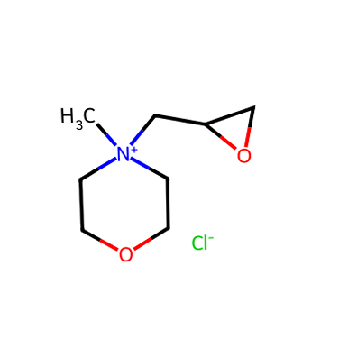 C[N+]1(CC2CO2)CCOCC1.[Cl-]